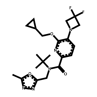 Cc1nnc(CN(C(=O)c2ccc(N3CC(F)(F)C3)c(OCC3CC3)n2)C(C)(C)C)o1